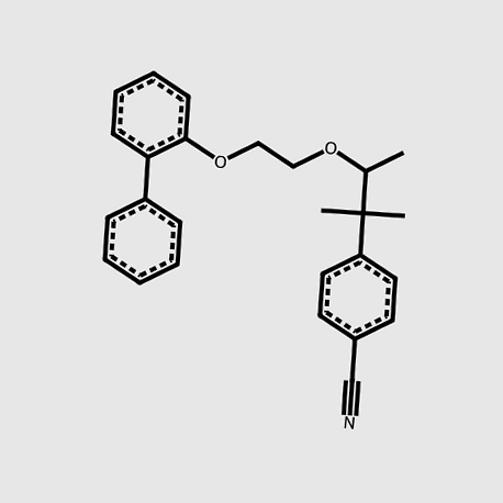 CC(OCCOc1ccccc1-c1ccccc1)C(C)(C)c1ccc(C#N)cc1